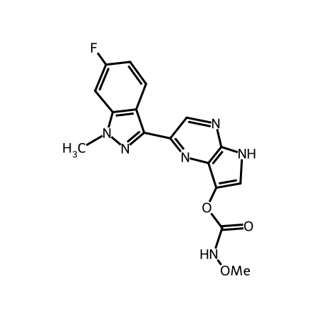 CONC(=O)Oc1c[nH]c2ncc(-c3nn(C)c4cc(F)ccc34)nc12